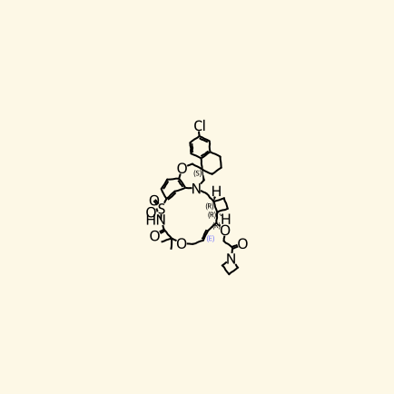 CC1(C)OC/C=C/[C@H](OCC(=O)N2CCC2)[C@@H]2CC[C@H]2CN2C[C@@]3(CCCc4cc(Cl)ccc43)COc3ccc(cc32)S(=O)(=O)NC1=O